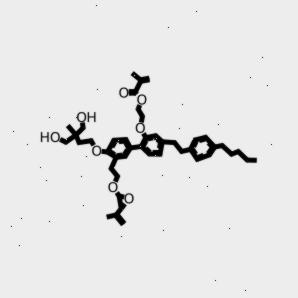 C=C(C)C(=O)OCCOc1cc(CCc2ccc(CCCCC)cc2)ccc1-c1ccc(OCCC(C)(CO)CO)c(CCOC2OC2C(=C)C)c1